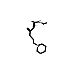 C=C(/C=C(\C)OCC)CCCN1CCCCC1